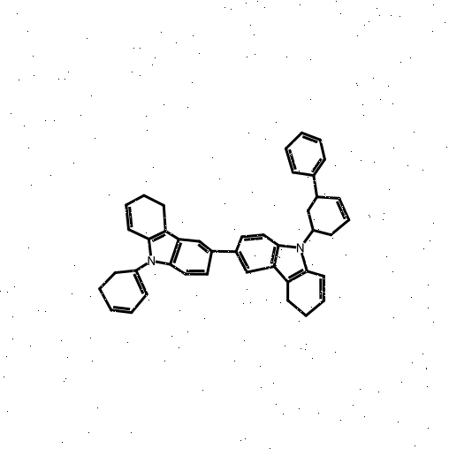 C1=CCCC(n2c3c(c4cc(-c5ccc6c(c5)c5c(n6C6CC=CC(c7ccccc7)C6)C=CCC5)ccc42)CCC=C3)=C1